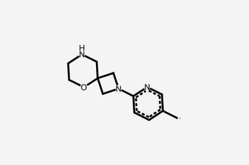 [CH2]c1ccc(N2CC3(CNCCO3)C2)nc1